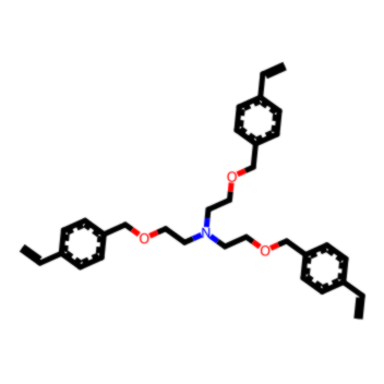 C=Cc1ccc(COCCN(CCOCc2ccc(C=C)cc2)CCOCc2ccc(C=C)cc2)cc1